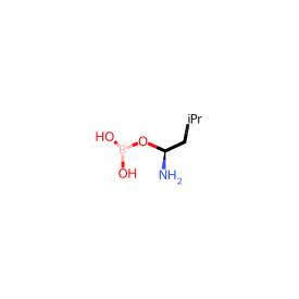 CC(C)C[C@@H](N)OB(O)O